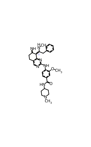 CN/C(Cc1ccccc1)=C1\C(=N)CCc2cnc(Nc3ccc(C(=O)NC4CCN(C)CC4)cc3OC)nc21